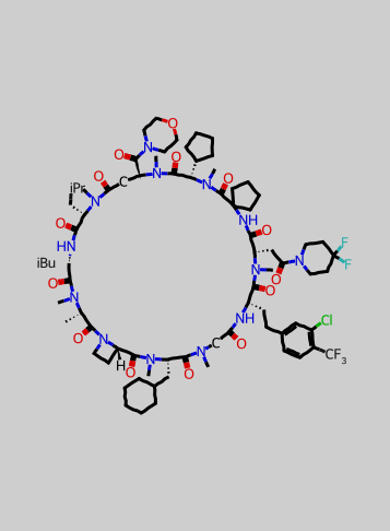 CC[C@H](C)[C@@H]1NC(=O)[C@H](CC(C)C)N(C)C(=O)C[C@@H](C(=O)N2CCOCC2)N(C)C(=O)[C@H](C2CCCC2)N(C)C(=O)C2(CCCC2)NC(=O)[C@H](CC(=O)N2CCC(F)(F)CC2)N(C)C(=O)[C@H](CCc2ccc(C(F)(F)F)c(Cl)c2)NC(=O)CN(C)C(=O)[C@H](CC2CCCCC2)N(C)C(=O)[C@@H]2CCN2C(=O)[C@H](C)N(C)C1=O